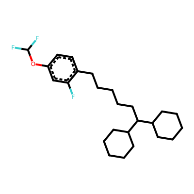 Fc1cc(OC(F)F)ccc1CCCCCC(C1CCCCC1)C1CCCCC1